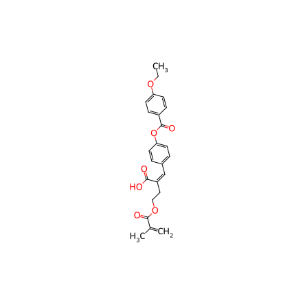 C=C(C)C(=O)OCCC(=Cc1ccc(OC(=O)c2ccc(OCC)cc2)cc1)C(=O)O